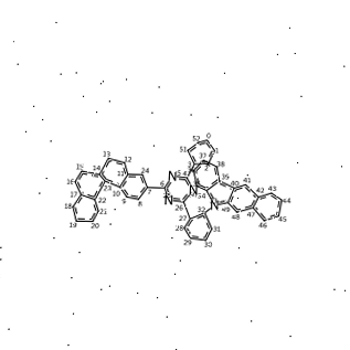 c1ccc(-c2nc(-c3ccc4c(ccc5ccc6ccccc6c54)c3)nc(-c3ccccc3-n3c4ccccc4c4cc5ccccc5cc43)n2)cc1